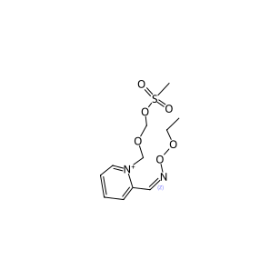 CCOO/N=C\c1cccc[n+]1COCOS(C)(=O)=O